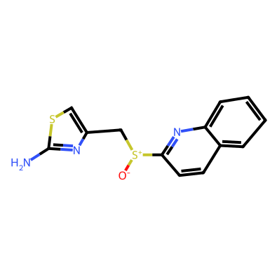 Nc1nc(C[S+]([O-])c2ccc3ccccc3n2)cs1